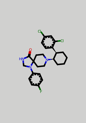 O=C1NCN(c2ccc(F)cc2)C12CCN([C@@H]1CCCC[C@@H]1c1ccc(Cl)cc1Cl)CC2